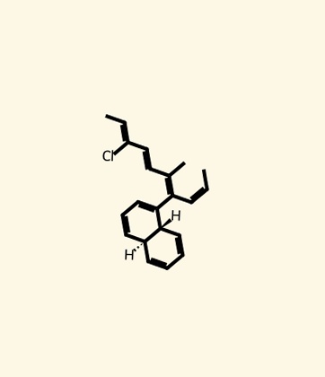 CC=C(Cl)C=C/C(C)=C(/C=C\C)C1=CC=C[C@@H]2C=CC=C[C@@H]12